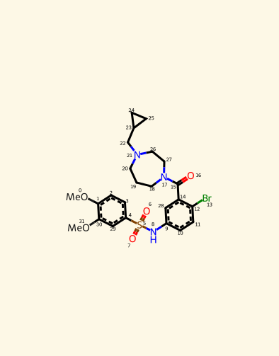 COc1ccc(S(=O)(=O)Nc2ccc(Br)c(C(=O)N3CCCN(CC4CC4)CC3)c2)cc1OC